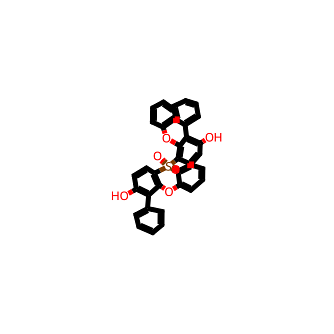 O=S(=O)(c1ccc(O)c(-c2ccccc2)c1Oc1ccccc1)c1ccc(O)c(-c2ccccc2)c1Oc1ccccc1